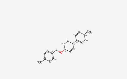 Cc1ccc(COC2C=CC(C3=CCC(C)C=C3)CC2)cc1